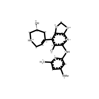 CNc1cc(C)nc(Nc2nc3c(c(C4=CCNC[C@H](O)C4)c2Cl)OCO3)c1